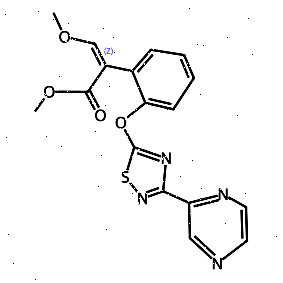 CO/C=C(\C(=O)OC)c1ccccc1Oc1nc(-c2cnccn2)ns1